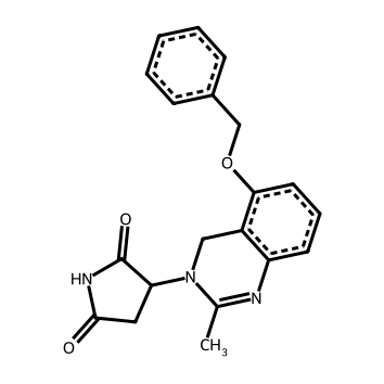 CC1=Nc2cccc(OCc3ccccc3)c2CN1C1CC(=O)NC1=O